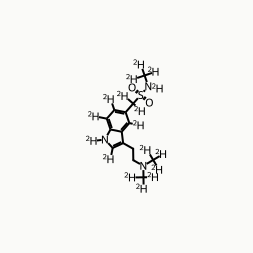 [2H]c1c(C([2H])([2H])S(=O)(=O)N([2H])C([2H])([2H])[2H])c([2H])c2c(CCN(C([2H])([2H])[2H])C([2H])([2H])[2H])c([2H])n([2H])c2c1[2H]